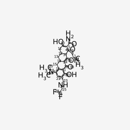 CCC1O[C@]12C(C(N)=O)=C(O)CC1CC3Cc4c(N(C)C)cc(CNCC(F)F)c(O)c4C(=O)C3=C(O)C12